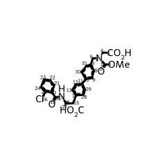 COC(=O)N(CC(=O)O)Cc1ccc(-c2ccc(C[C@H](NC(=O)c3ccccc3Cl)C(=O)O)cc2)cc1